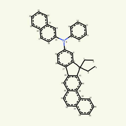 CCC1(CC)c2cc(N(c3ccccc3)c3ccc4ccccc4c3)ccc2-c2cc3ccc4ccccc4c3cc21